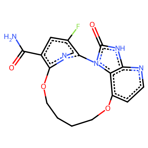 NC(=O)c1cc(F)c2nc1OCCCCOc1ccnc3[nH]c(=O)n-2c13